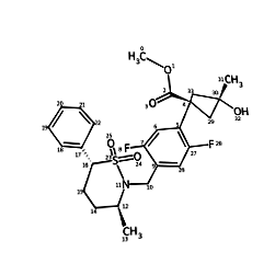 COC(=O)[C@]1(c2cc(F)c(CN3[C@@H](C)CC[C@H](c4ccccc4)S3(=O)=O)cc2F)C[C@@](C)(O)C1